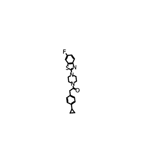 O=C(Cc1ccc(C2CC2)cc1)N1CCN(c2nc3ccc(F)cc3s2)CC1